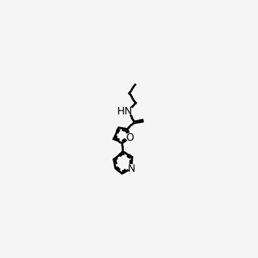 C=C(NCCC)c1ccc(-c2cccnc2)o1